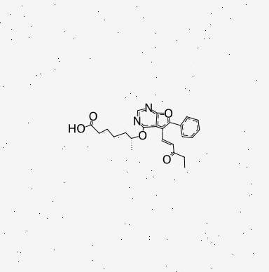 CCC(=O)C=Cc1c(-c2ccccc2)oc2ncnc(O[C@H](C)CCCCC(=O)O)c12